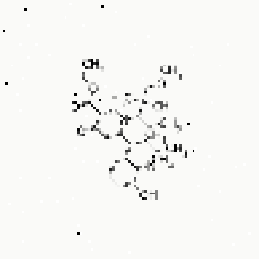 CCOC(=O)c1cn(C(CC)C(C)(C)COC)c(/C(=C2\C=CC=C(O)\C2=N\C)C(C)CC)cc1=O